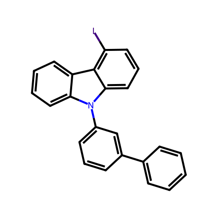 Ic1cccc2c1c1ccccc1n2-c1cccc(-c2ccccc2)c1